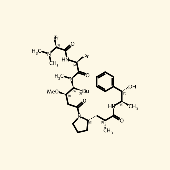 CC[C@H](C)[C@@H]([C@@H](CC(=O)N1CCC[C@H]1C[C@@H](C)C(=O)N[C@H](C)[C@@H](O)c1ccccc1)OC)N(C)C(=O)[C@@H](NC(=O)[C@H](C(C)C)N(C)C)C(C)C